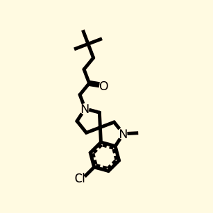 CN1CC2(CCN(CC(=O)CCC(C)(C)C)C2)c2cc(Cl)ccc21